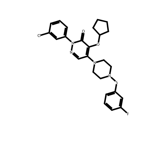 O=c1c(OC2CCCC2)c(N2CCN(Sc3cccc(F)c3)CC2)cnn1-c1cccc(Cl)c1